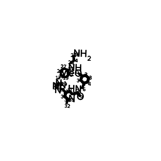 COc1cccc(CNC(=O)c2cc(-c3nnn(C[C@H]4CC[C@H](NCCCN)CC4)n3)cc(C)n2)c1